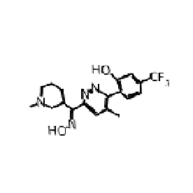 Cc1cc(C(=NO)C2CCCN(C)C2)nnc1-c1ccc(C(F)(F)F)cc1O